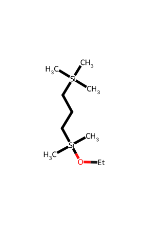 CCO[Si](C)(C)CCC[Si](C)(C)C